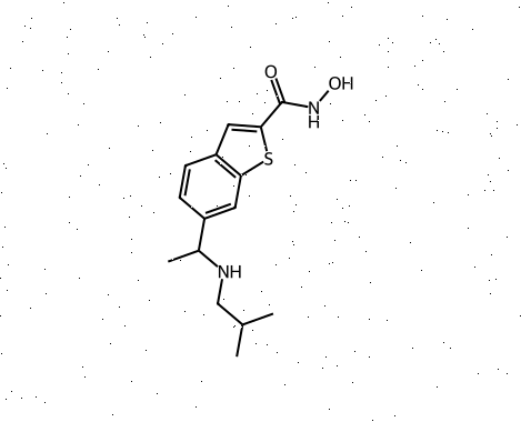 CC(C)CNC(C)c1ccc2cc(C(=O)NO)sc2c1